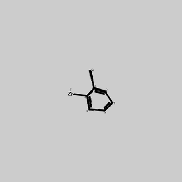 Cc1cccc[c]1[Zr]